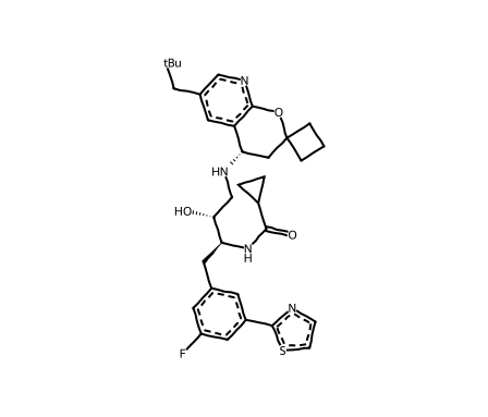 CC(C)(C)Cc1cnc2c(c1)[C@@H](NC[C@@H](O)[C@H](Cc1cc(F)cc(-c3nccs3)c1)NC(=O)C1CC1)CC1(CCC1)O2